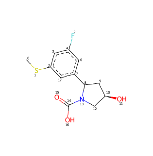 CSc1cc(F)cc(C2C[C@@H](O)CN2C(=O)O)c1